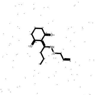 C=CCONC(CCC)=C1C(=O)CCCC1=O